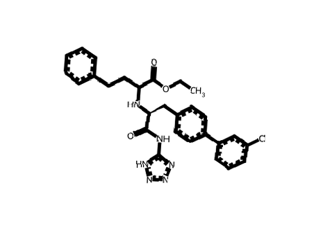 CCOC(=O)C(CCc1ccccc1)N[C@@H](Cc1ccc(-c2cccc(Cl)c2)cc1)C(=O)Nc1nnn[nH]1